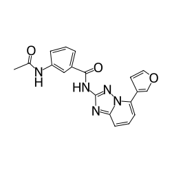 CC(=O)Nc1cccc(C(=O)Nc2nc3cccc(-c4ccoc4)n3n2)c1